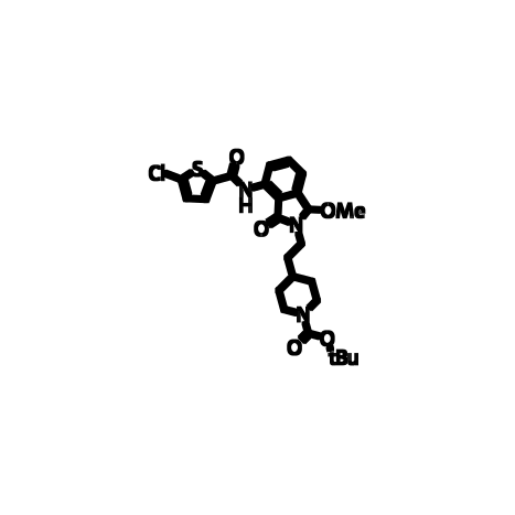 COC1c2cccc(NC(=O)c3ccc(Cl)s3)c2C(=O)N1CCC1CCN(C(=O)OC(C)(C)C)CC1